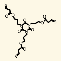 O=C(CC=S)OCCCn1c(=O)n(CCCOC(=O)CC=S)c(=O)n(CCCOC(=O)CC=S)c1=O